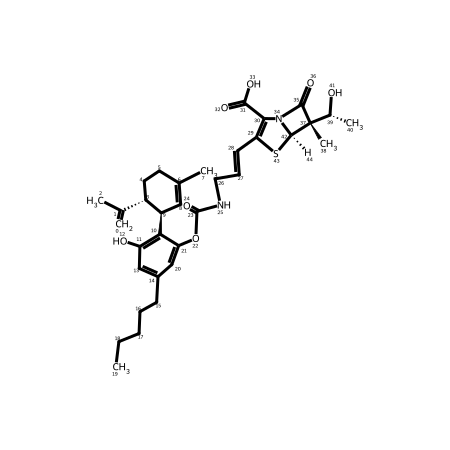 C=C(C)[C@@H]1CCC(C)=C[C@H]1c1c(O)cc(CCCCC)cc1OC(=O)NC/C=C/C1=C(C(=O)O)N2C(=O)[C@](C)([C@@H](C)O)[C@H]2S1